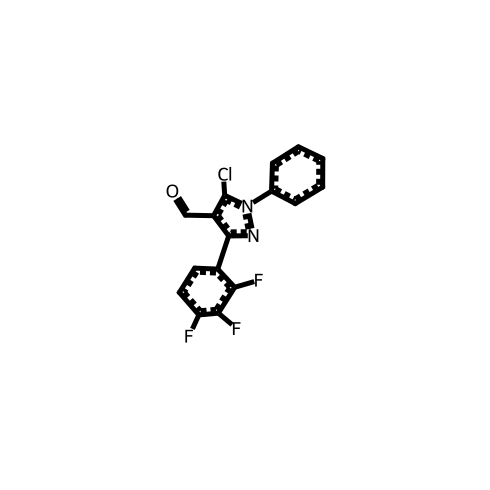 O=Cc1c(-c2ccc(F)c(F)c2F)nn(-c2ccccc2)c1Cl